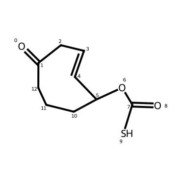 O=C1C/C=C/C(OC(=O)S)CCC1